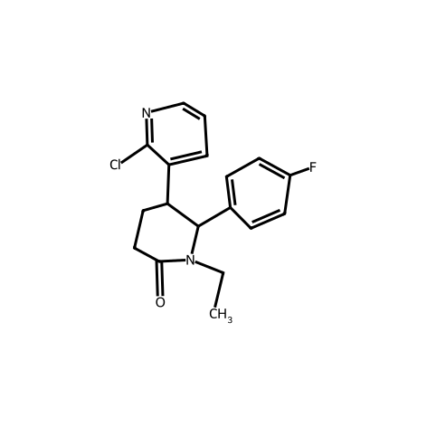 CCN1C(=O)CCC(c2cccnc2Cl)C1c1ccc(F)cc1